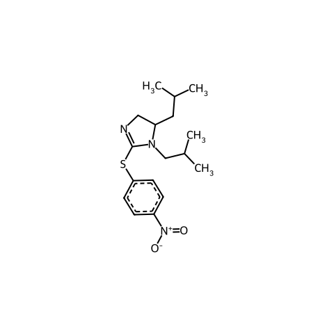 CC(C)CC1CN=C(Sc2ccc([N+](=O)[O-])cc2)N1CC(C)C